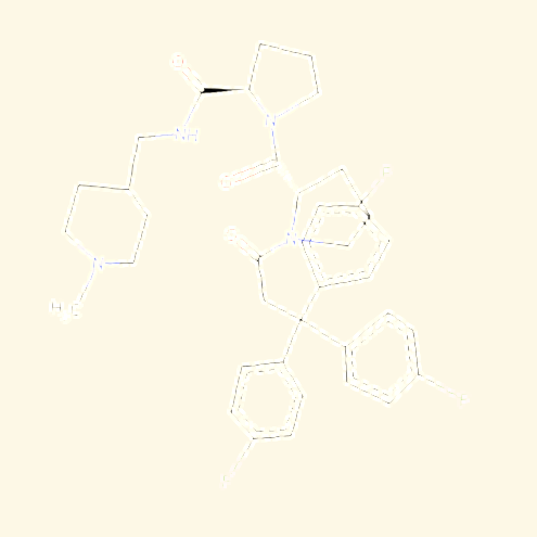 CN1CCC(CNC(=O)[C@H]2CCCN2C(=O)[C@@H]2CCCN2C(=O)CC(c2ccc(F)cc2)(c2ccc(F)cc2)c2ccc(F)cc2)CC1